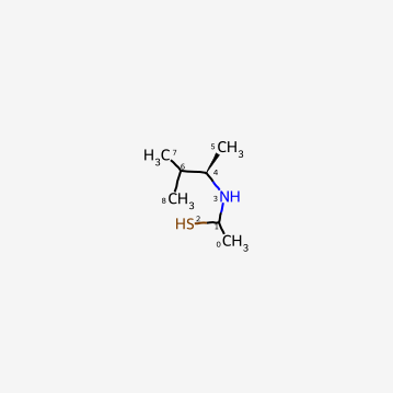 CC(S)N[C@H](C)C(C)C